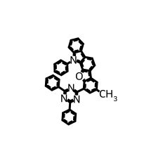 Cc1cc(-c2nc(-c3ccccc3)nc(-c3ccccc3)n2)c2oc3c(ccc4c5ccccc5n(-c5ccccc5)c43)c2c1